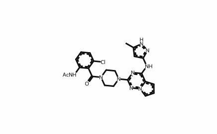 CC(=O)Nc1cccc(Cl)c1C(=O)N1CCN(c2nc(Nc3cc(C)[nH]n3)c3cccn3n2)CC1